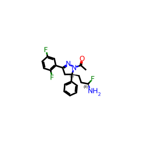 CC(=O)N1N=C(c2cc(F)ccc2F)C[C@@]1(CC[C@H](N)F)c1ccccc1